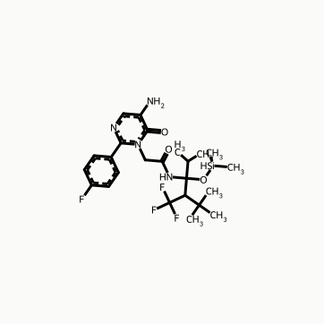 CC(C)C(NC(=O)Cn1c(-c2ccc(F)cc2)ncc(N)c1=O)(O[SiH](C)C)C(C(C)(C)C)C(F)(F)F